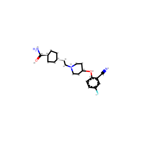 N#Cc1cc(F)ccc1OC1CCN(CC[C@H]2CC[C@H](C(N)=O)CC2)CC1